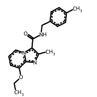 CCOc1cccn2c(C(=O)NCc3ccc(C)cc3)c(C)nc12